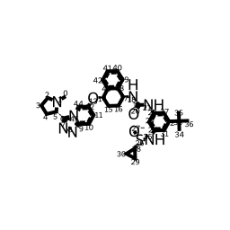 CN1CCC[C@H]1c1nnc2ccc(O[C@@H]3CC[C@H](NC(=O)Nc4cc(N[S+]([O-])C5CC5)cc(C(C)(C)C)c4)c4ccccc43)cn12